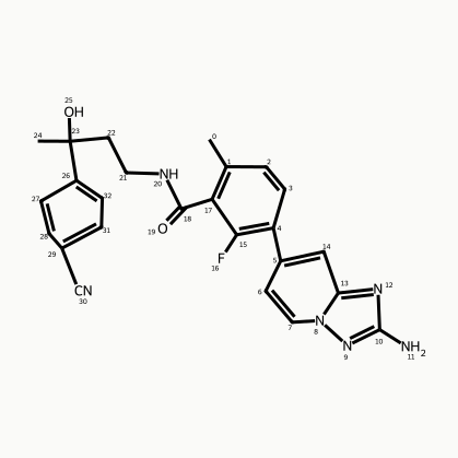 Cc1ccc(-c2ccn3nc(N)nc3c2)c(F)c1C(=O)NCCC(C)(O)c1ccc(C#N)cc1